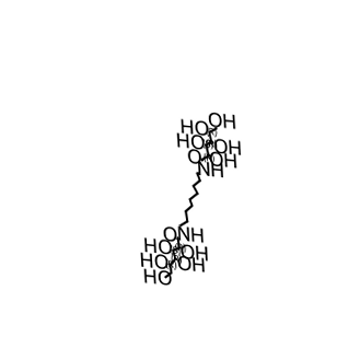 O=C(NCCCCCCCCCNC(=O)[C@H](O)[C@@H](O)[C@H](O)[C@H](O)CO)[C@H](O)[C@@H](O)[C@H](O)[C@H](O)CO